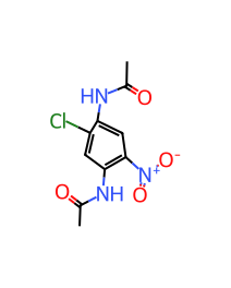 CC(=O)Nc1cc([N+](=O)[O-])c(NC(C)=O)cc1Cl